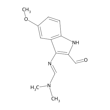 COc1ccc2[nH]c(C=O)c(N=CN(C)C)c2c1